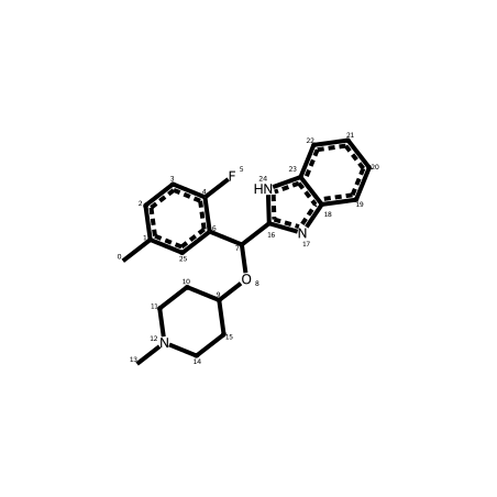 Cc1ccc(F)c(C(OC2CCN(C)CC2)c2nc3ccccc3[nH]2)c1